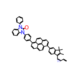 C=C/C=C\C1=C(C)C(C)(C)c2cc(-c3ccc4ccc5c(-c6ccc(-n7c(=O)n(-c8ccccc8)c8ccccc87)cc6)ccc6ccc3c4c65)ccc21